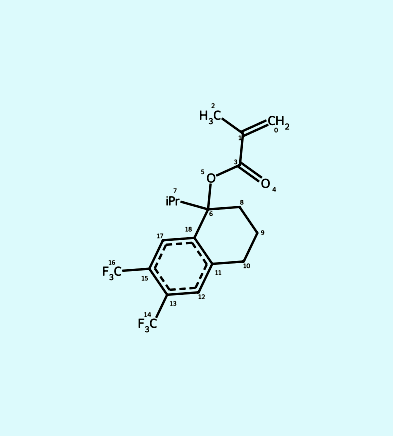 C=C(C)C(=O)OC1(C(C)C)CCCc2cc(C(F)(F)F)c(C(F)(F)F)cc21